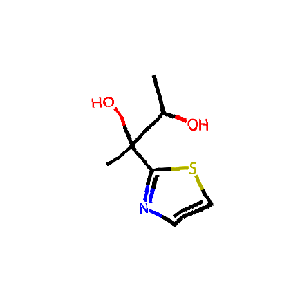 CC(O)C(C)(O)c1nccs1